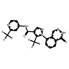 O=C(Nc1ccnc(C(F)(F)F)c1)c1cnn(-c2cccc3c(=S)[nH]ncc23)c1C(F)(F)F